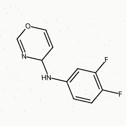 Fc1ccc(NC2C=COC=N2)cc1F